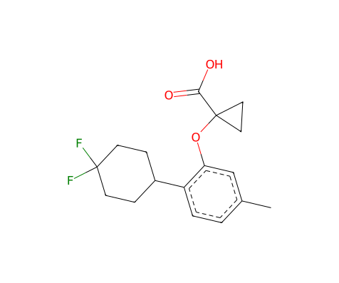 Cc1ccc(C2CCC(F)(F)CC2)c(OC2(C(=O)O)CC2)c1